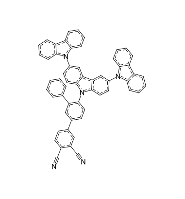 N#Cc1ccc(-c2ccc(-n3c4ccc(-n5c6ccccc6c6ccccc65)cc4c4cc(-n5c6ccccc6c6ccccc65)ccc43)c(-c3ccccc3)c2)cc1C#N